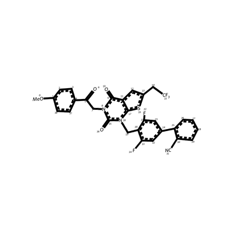 COc1ccc(C(=O)Cn2c(=O)c3cc(CC(F)(F)F)sc3n(Cc3c(F)cc(-c4ccccc4C#N)cc3F)c2=O)cc1